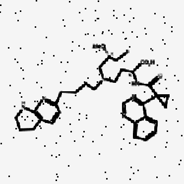 CO[C@H](CF)CN(CCCCc1ccc2c(n1)NCCC2)CC[C@H](NC(=O)C1(c2ncnc3ccccc23)CC1)C(=O)O